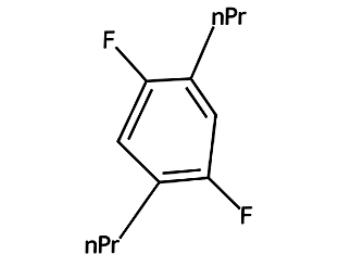 CCCc1cc(F)c(CCC)cc1F